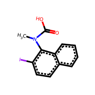 CN(C(=O)O)c1c(I)ccc2ccccc12